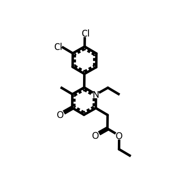 CCOC(=O)Cc1cc(=O)c(C)c(-c2ccc(Cl)c(Cl)c2)n1CC